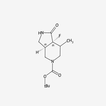 CC1CN(C(=O)OC(C)(C)C)C[C@H]2CNC(=O)[C@@]12F